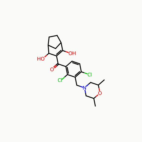 CC1CN(Cc2c(Cl)ccc(C(=O)C3=C(O)C4CCC(C4)C3O)c2Cl)CC(C)O1